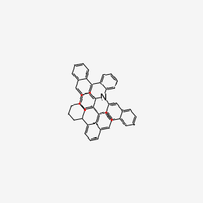 c1ccc(N(c2ccc3ccccc3c2)c2ccccc2-c2cccc3cccc(C4CCCCC4)c23)c(-c2cccc3ccccc23)c1